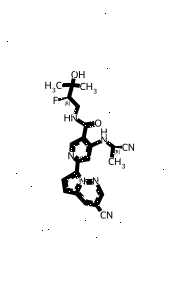 C[C@H](C#N)Nc1cc(-c2ccc3cc(C#N)cnn23)ncc1C(=O)NC[C@@H](F)C(C)(C)O